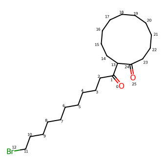 O=C(CCCCCCCCCCBr)C1CCCCCCCCCCC1=O